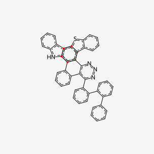 c1ccc(-c2ccccc2-c2ccccc2-c2nnnc(-c3cccc4sc5ccccc5c34)c2-c2ccccc2-c2cccc3c2[nH]c2ccccc23)cc1